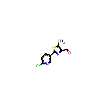 Cc1sc(-c2ccc(Cl)nc2)nc1C=O